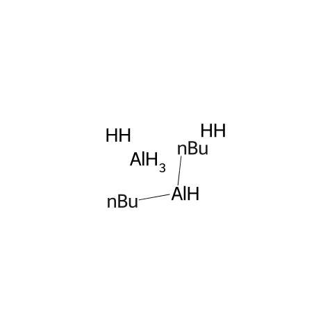 CCC[CH2][AlH][CH2]CCC.[AlH3].[HH].[HH]